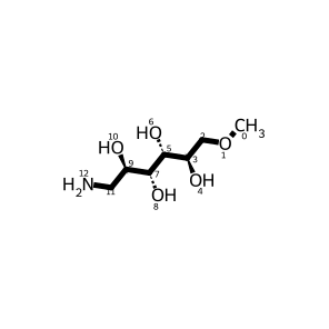 COC[C@@H](O)[C@@H](O)[C@H](O)[C@H](O)CN